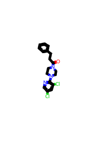 O=C(C[CH]c1ccccc1)N1CCN(c2ncc(Cl)cc2Cl)CC1